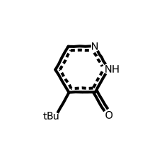 CC(C)(C)c1ccn[nH]c1=O